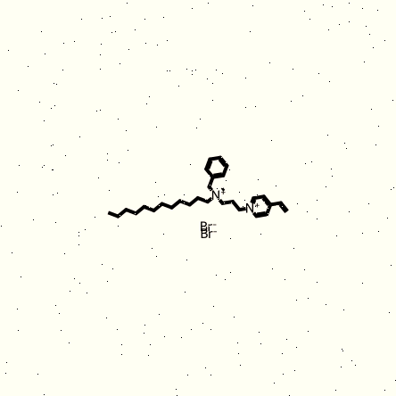 C=Cc1cc[n+](CCC[N+](C)(CCCCCCCCCCCC)Cc2ccccc2)cc1.[Br-].[Br-]